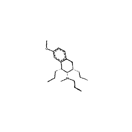 CCC[C@H]1Cc2ccc(OC)cc2[C@@H](CCC)[C@H]1N(C)CCC